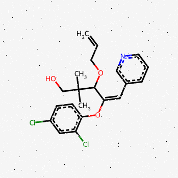 C=CCOC(/C(=C\c1cccnc1)Oc1ccc(Cl)cc1Cl)C(C)(C)CO